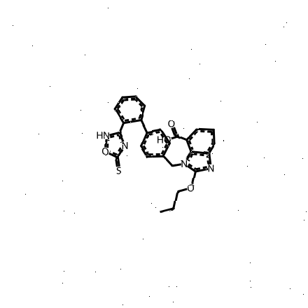 CCCOc1nc2cccc(C(=O)O)c2n1Cc1ccc(-c2ccccc2-c2nc(=S)o[nH]2)cc1